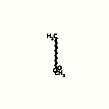 CCCCC=CCCCCCCCC(=O)OC